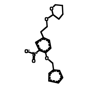 O=[N+]([O-])c1cc(CCOC2CCCCO2)ccc1OCc1ccccc1